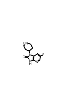 O=c1[nH]c2ncc(F)cc2n1C1CCNCC1